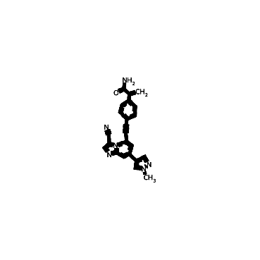 C=C(C(N)=O)c1ccc(C#Cc2cc(-c3cnn(C)c3)cc3ncc(C#N)n23)cc1